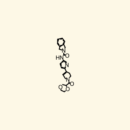 O=C(Nc1ccc(C2=CCN(C(=O)C3COCCO3)CC2)nc1)N1Cc2ccccc2C1